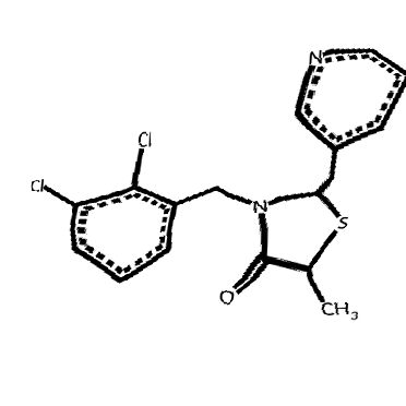 CC1SC(c2cccnc2)N(Cc2cccc(Cl)c2Cl)C1=O